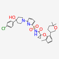 Cc1cccc(C2CCC(C)(C)OC2)c1OC1(C(=O)NS(=O)(=O)c2cccc(N3CCC(O)(c4ccc(Cl)cc4)CC3)n2)CC1